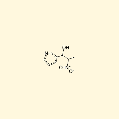 CC(C(O)c1cccnc1)[N+](=O)[O-]